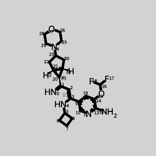 N=C(/C=C(\NC1CCC1)c1cnc(N)c(OC(F)F)c1)[C@H]1[C@@H]2CC(N3CCOCC3)C[C@@H]21